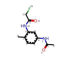 CC(=O)Nc1ccc(C)c(NC(=O)CF)c1